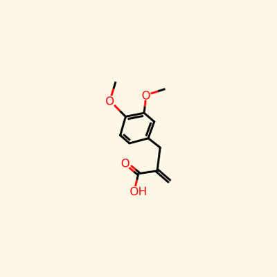 C=C(Cc1ccc(OC)c(OC)c1)C(=O)O